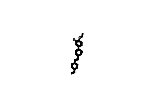 C=CC1CCC(/C=C/c2ccc(-c3ccc(OCC)c(F)c3)cc2)CC1